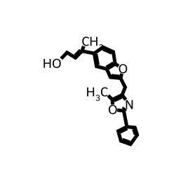 CC(=CCO)c1ccc2oc(Cc3nc(-c4ccccc4)oc3C)cc2c1